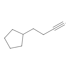 [C]#CCCC1CCCC1